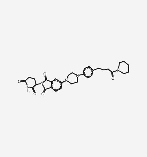 O=C1CCC(N2C(=O)c3ccc(N4CCN(c5ccc(CCCC(=O)N6CCCCC6)cc5)CC4)cc3C2=O)C(=O)N1